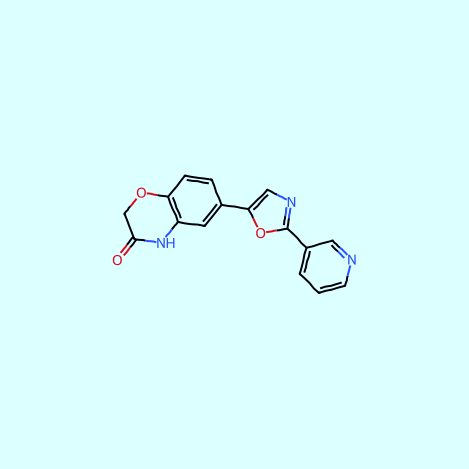 O=C1COc2ccc(-c3cnc(-c4cccnc4)o3)cc2N1